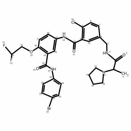 CC(C(=O)NCc1ccc(Cl)c(C(=O)Nc2ccc(OCC(F)F)c(C(=O)Nc3ccc(Br)cc3)c2)c1)N1CCCC1